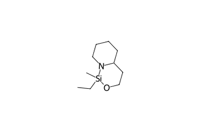 CC[Si]1(C)OCCC2CCCCN21